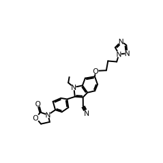 CCn1c(-c2ccc(N3CCOC3=O)cc2)c(C#N)c2ccc(OCCCn3cncn3)cc21